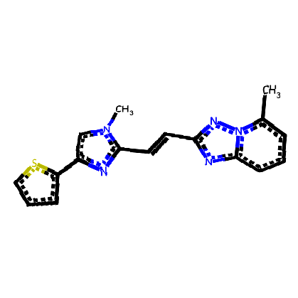 Cc1cccc2nc(/C=C/c3nc(-c4cccs4)cn3C)nn12